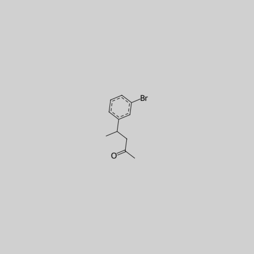 CC(=O)CC(C)c1cccc(Br)c1